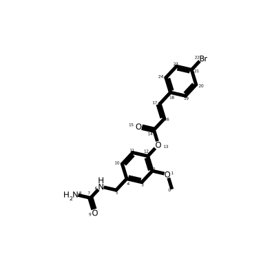 COc1cc(CNC(N)=O)ccc1OC(=O)/C=C/c1ccc(Br)cc1